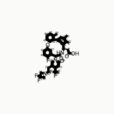 Cc1cc2cc(c1F)[C@@H](CC(=O)O)NC(=O)[C@H](n1cc(CCN3CC(F)(F)C3)c(C(F)(F)F)cc1=O)c1cc(ccc1F)Oc1cccc(C)c1-2